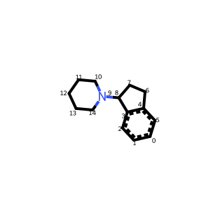 c1ccc2c(c1)CCC2N1CCCCC1